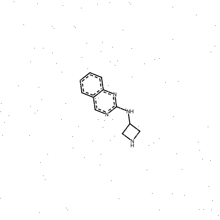 c1ccc2nc(NC3CNC3)ncc2c1